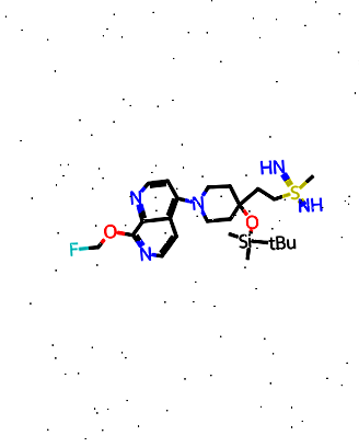 CC(C)(C)[Si](C)(C)OC1(CCS(C)(=N)=N)CCN(c2ccnc3c(OCF)nccc23)CC1